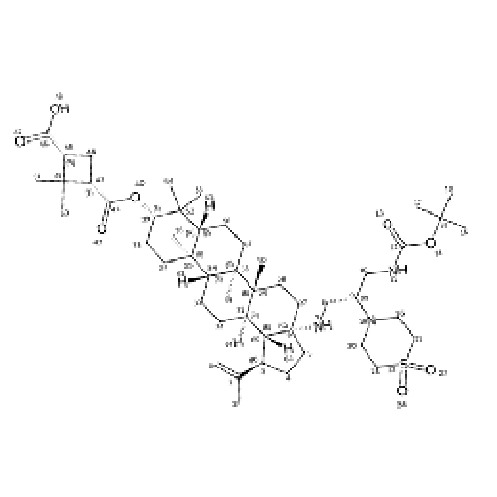 C=C(C)[C@@H]1CC[C@]2(NC[C@H](CNC(=O)OC(C)(C)C)N3CCS(=O)(=O)CC3)CC[C@]3(C)[C@H](CC[C@@H]4[C@@]5(C)CC[C@H](OC(=O)[C@H]6C[C@@H](C(=O)O)C6(C)C)C(C)(C)[C@@H]5CC[C@]43C)[C@@H]12